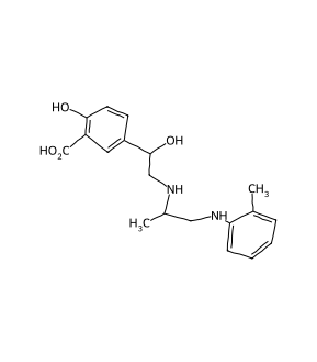 Cc1ccccc1NCC(C)NCC(O)c1ccc(O)c(C(=O)O)c1